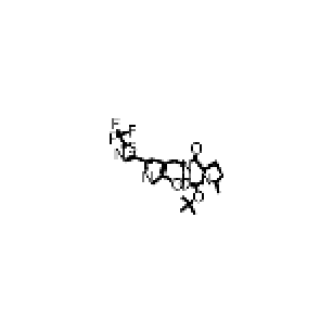 CC1CCC(C(=O)NCc2cc(-c3cnc(C(F)(F)F)s3)ncc2Cl)N1C(=O)OC(C)(C)C